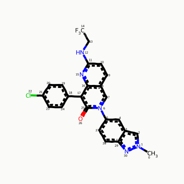 Cn1cc2cc(-n3cc4ccc(NCC(F)(F)F)nc4c(-c4ccc(Cl)cc4)c3=O)ccc2n1